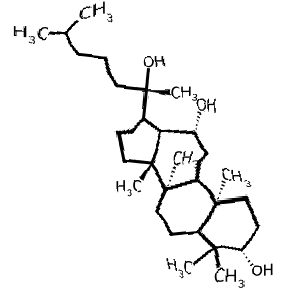 CC(C)CCC[C@](C)(O)C1CC[C@]2(C)C1[C@H](O)CC1[C@@]3(C)CC[C@H](O)C(C)(C)C3CC[C@]12C